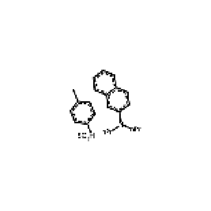 CCCN(CCC)c1ccc2ccccc2c1.Cc1ccc(S(=O)(=O)O)cc1